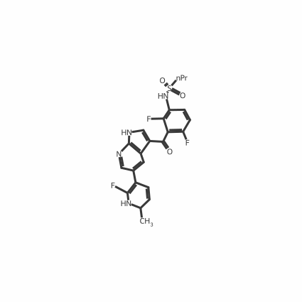 CCCS(=O)(=O)Nc1ccc(F)c(C(=O)c2c[nH]c3ncc(C4=C(F)NC(C)C=C4)cc23)c1F